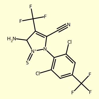 N#CC1=C(C(F)(F)F)C(N)[N+](=S)N1c1c(Cl)cc(C(F)(F)F)cc1Cl